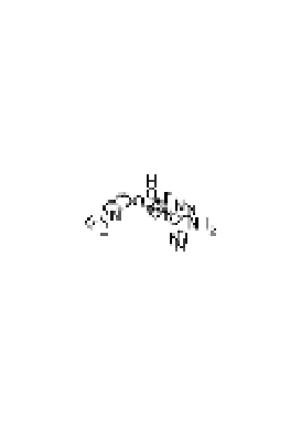 Cn1ccc(-c2cn([C@@H]3O[C@H](COc4ccc5ccc(NC6CCC6)nc5c4)[C@@H](O)[C@@H]3F)c3ncnc(N)c23)n1